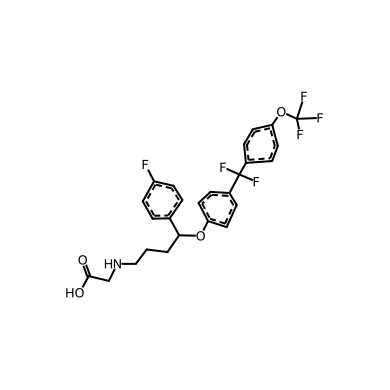 O=C(O)CNCCCC(Oc1ccc(C(F)(F)c2ccc(OC(F)(F)F)cc2)cc1)c1ccc(F)cc1